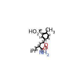 Cc1ccc(C(=O)CC(CC(C)C)C(N)=O)cc1C(=O)O